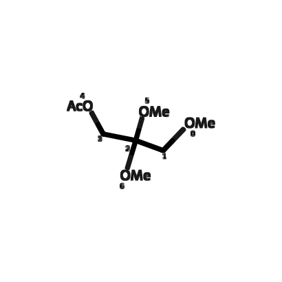 COCC(COC(C)=O)(OC)OC